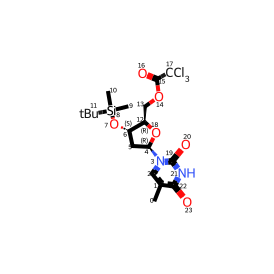 Cc1cn([C@H]2C[C@H](O[Si](C)(C)C(C)(C)C)[C@@H](COC(=O)C(Cl)(Cl)Cl)O2)c(=O)[nH]c1=O